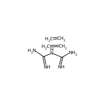 C=C.C=C.N=C(N)NC(=N)N